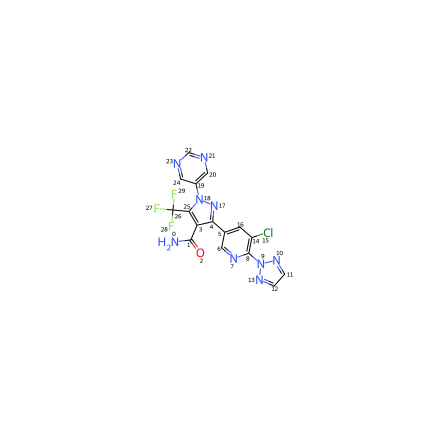 NC(=O)c1c(-c2cnc(-n3nccn3)c(Cl)c2)nn(-c2cncnc2)c1C(F)(F)F